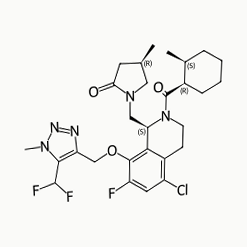 C[C@@H]1CC(=O)N(C[C@@H]2c3c(c(Cl)cc(F)c3OCc3nnn(C)c3C(F)F)CCN2C(=O)[C@@H]2CCCC[C@@H]2C)C1